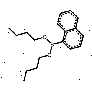 CCCCOB(OCCCC)c1cccc2ccccc12